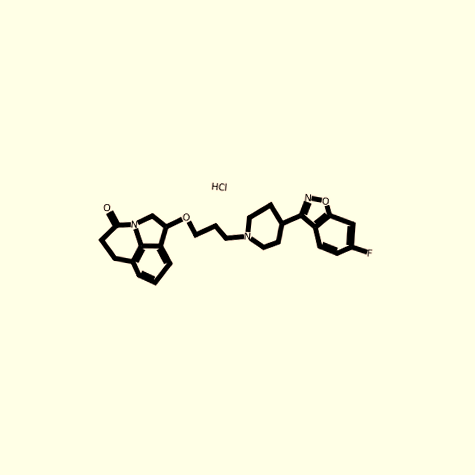 Cl.O=C1CCc2cccc3c2N1CC3OCCCN1CCC(c2noc3cc(F)ccc23)CC1